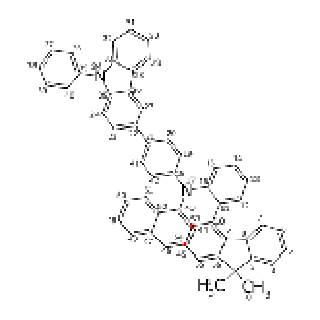 CC1(C)c2ccccc2-c2c(-c3ccccc3N(c3ccc(-c4ccc5c(c4)c4ccccc4n5-c4ccccc4)cc3)c3cccc4ccccc34)cccc21